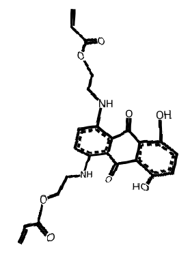 C=CC(=O)OCCNc1ccc(NCCOC(=O)C=C)c2c1C(=O)c1c(O)ccc(O)c1C2=O